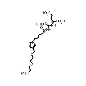 COCCOCCOCc1cn(CCCC[C@H](NC(=O)N[C@@H](CCC(=O)O)C(=O)O)OC=O)nn1